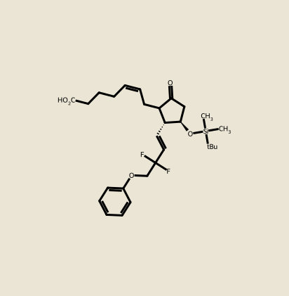 CC(C)(C)[Si](C)(C)O[C@@H]1CC(=O)C(C/C=C\CCCC(=O)O)[C@H]1/C=C/C(F)(F)COc1ccccc1